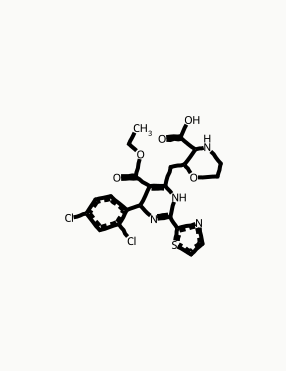 CCOC(=O)C1=C(CC2OCCNC2C(=O)O)NC(c2nccs2)=NC1c1ccc(Cl)cc1Cl